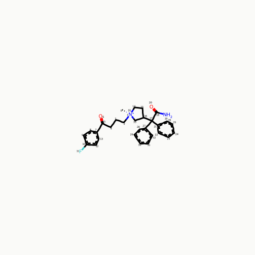 C[N@+]1(CCCC(=O)c2ccc(F)cc2)CCC(C(C(N)=O)(c2ccccc2)c2ccccc2)C1